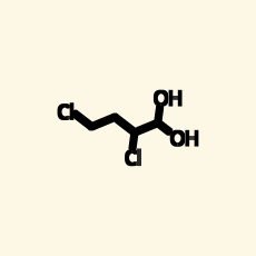 OC(O)C(Cl)CCCl